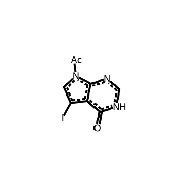 CC(=O)n1cc(I)c2c(=O)[nH]cnc21